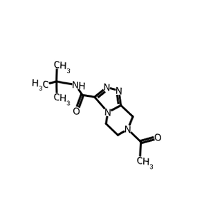 CC(=O)N1CCn2c(nnc2C(=O)NC(C)(C)C)C1